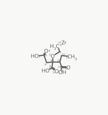 CCOC(CC(=O)O)(C(=O)O)C(CC)C(=O)O.[Zr]